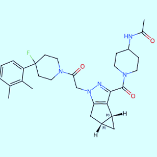 CC(=O)NC1CCN(C(=O)c2nn(CC(=O)N3CCC(F)(c4cccc(C)c4C)CC3)c3c2[C@@H]2C[C@@H]2C3)CC1